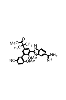 COC(=O)C(C)(C)c1cc(-c2nc3cc(C(=N)N)ccc3[nH]2)c(OC)c(-c2cc(C#N)ccc2OC)c1